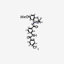 COc1ccc2c(c1)/C(=C/C(=O)c1cccc(NC(=O)c3ccc(C(F)(F)F)cc3)c1)NC(C)(C)C2